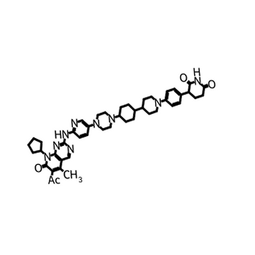 CC(=O)c1c(C)c2cnc(Nc3ccc(N4CCN(C5CCC(C6CCN(c7ccc(C8CCC(=O)NC8=O)cc7)CC6)CC5)CC4)cn3)nc2n(C2CCCC2)c1=O